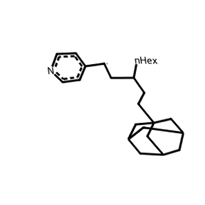 CCCCCCC(C[CH]c1ccncc1)CCC12CC3CC(CC(C3)C1)C2